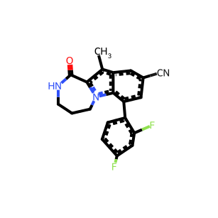 Cc1c2n(c3c(-c4ccc(F)cc4F)cc(C#N)cc13)CCCNC2=O